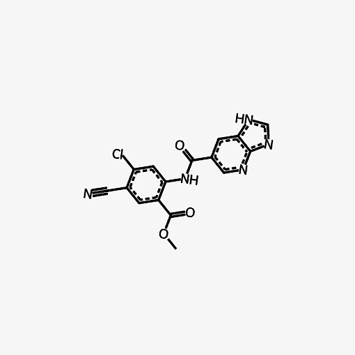 COC(=O)c1cc(C#N)c(Cl)cc1NC(=O)c1cnc2nc[nH]c2c1